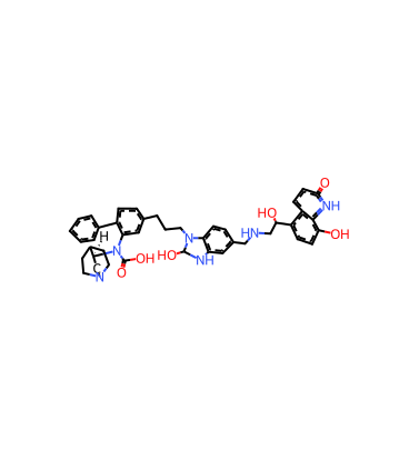 O=C(O)N(c1cc(CCCN2c3ccc(CNC[C@@H](O)c4ccc(O)c5[nH]c(=O)ccc45)cc3NC2O)ccc1-c1ccccc1)[C@H]1CN2CCC1CC2